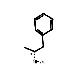 CC(=O)N[C@H](C)Cc1ccccc1